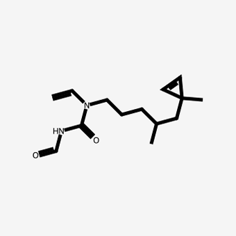 C=CN(CCCC(C)CC1(C)C=C1)C(=O)NC=O